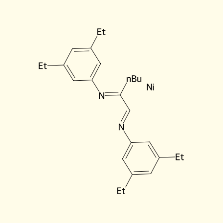 CCCCC(C=Nc1cc(CC)cc(CC)c1)=Nc1cc(CC)cc(CC)c1.[Ni]